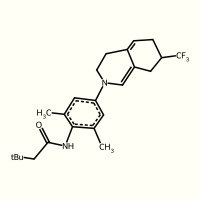 Cc1cc(N2C=C3CC(C(F)(F)F)CC=C3CC2)cc(C)c1NC(=O)CC(C)(C)C